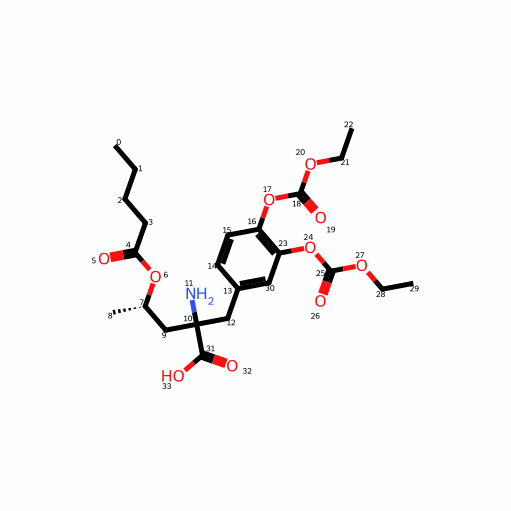 CCCCC(=O)O[C@@H](C)CC(N)(Cc1ccc(OC(=O)OCC)c(OC(=O)OCC)c1)C(=O)O